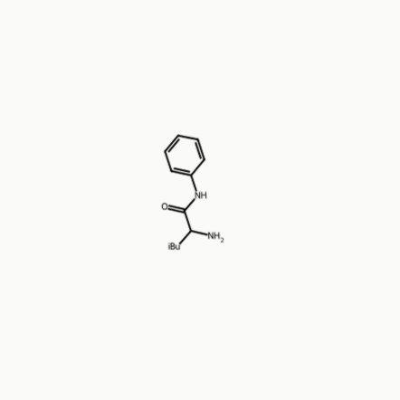 CCC(C)C(N)C(=O)Nc1ccccc1